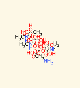 CC(=O)NC1C(OC2C(O)C(CO)OC(OC3C(CO)OC(OC4C(O)C(CO)C(NC(C)=O)[C@H]4C(O)OCCN)C4O[C@@](C)(C(=O)O)OC34)C2NC(C)=O)OC(C)C(O)C1O